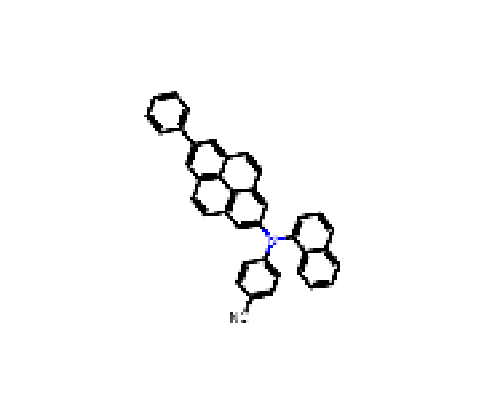 N#Cc1ccc(N(c2cc3ccc4cc(-c5ccccc5)cc5ccc(c2)c3c45)c2cccc3ccccc23)cc1